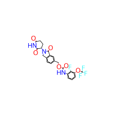 O=C1CCC(N2Cc3ccc(COC(=O)Nc4cccc(OC(F)(F)F)c4F)cc3C2=O)C(=O)N1